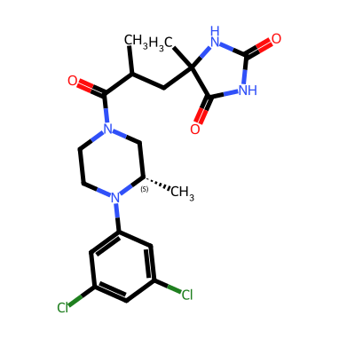 CC(CC1(C)NC(=O)NC1=O)C(=O)N1CCN(c2cc(Cl)cc(Cl)c2)[C@@H](C)C1